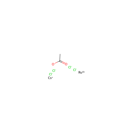 CC(=O)[O-].[Cl-].[Cl-].[Cl-].[Cl-].[Cs+].[Ru+4]